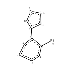 CCc1ccccc1-c1cnsc1